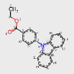 CCOC(=O)c1ccc(-n2c3ccccc3c3ccccc32)cc1